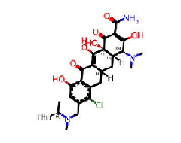 C[C@@H](N(C)Cc1cc(O)c2c(c1Cl)C[C@H]1C[C@H]3[C@H](N(C)C)C(O)=C(C(N)=O)C(=O)[C@@]3(O)C(O)=C1C2=O)C(C)(C)C